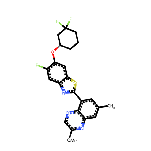 COc1cnc2c(-c3nc4cc(F)c(O[C@@H]5CCCC(F)(F)C5)cc4s3)cc(C)cc2n1